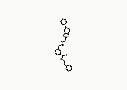 O=C(Cc1nc2ccc(-c3ccccc3)cc2s1)NCc1cccc(C(=O)NCCc2ccccc2)c1